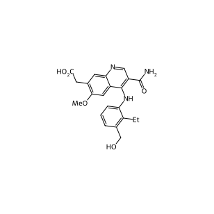 CCc1c(CO)cccc1Nc1c(C(N)=O)cnc2cc(CC(=O)O)c(OC)cc12